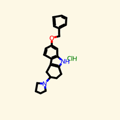 Cl.c1ccc(COc2ccc3c4c([nH]c3c2)CCC(N2CCCC2)C4)cc1